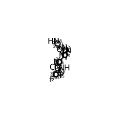 O=S(=O)(Nc1cc(-c2ccc3ncnc(OC4CCNCC4)c3n2)cnc1Cl)c1ccc(F)cc1F